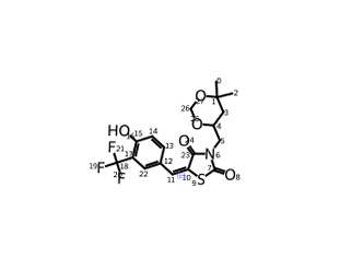 CC1(C)CC(CN2C(=O)S/C(=C/c3ccc(O)c(C(F)(F)F)c3)C2=O)OCO1